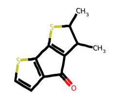 CC1SC2=C(C(=O)c3ccsc32)C1C